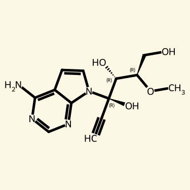 C#C[C@@](O)([C@H](O)[C@@H](CO)OC)n1ccc2c(N)ncnc21